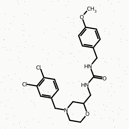 COc1ccc(CNC(=O)NCC2CN(Cc3ccc(Cl)c(Cl)c3)CCO2)cc1